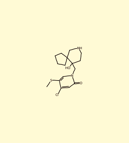 CSc1cn(CC2(O)CCNCC23CCCC3)c(=O)cc1Cl